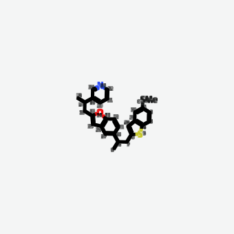 CSc1ccc2sc(CC(C)c3ccc4oc(CC(C)c5cccnc5)cc4c3)cc2c1